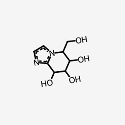 OCC1C(O)C(O)C(O)c2nccn21